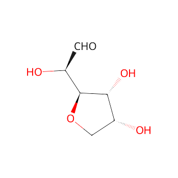 O=C[C@H](O)[C@@H]1OC[C@@H](O)[C@H]1O